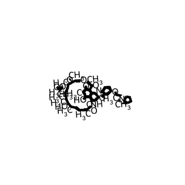 CO[C@H]1/C=C/O[C@@]2(C)Oc3c(C)c(O)c4c(=O)c(c5oc6cc(OCC[N+]7(C(C)C)CC8CCC7C8)ccc6nc-5c4c3C2=O)NC(=O)/C(C)=C\C=C\[C@H](C)[C@H](O)[C@@H](C)[C@@H](C)[C@@H](C)[C@H](OC(C)=O)[C@@H]1C